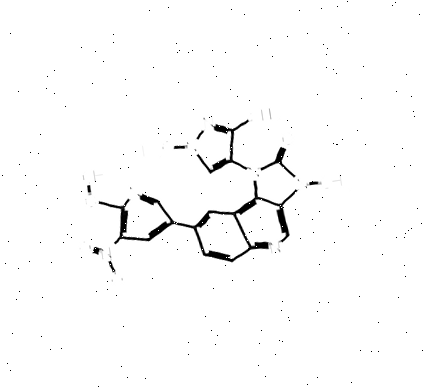 COc1ncc(-c2ccc3ncc4c(c3c2)n(-c2cn(C)nc2C)c(=O)n4C)cc1[N+](=O)[O-]